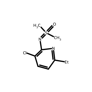 CCc1ccc(Cl)c(N=S(C)(C)=O)n1